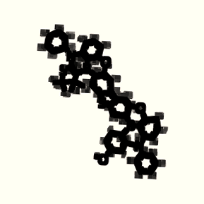 COc1ccc2c(c1)N(c1ccccc1)c1cccc3c1B2c1cc2sc4cc5c(cc4c2cc1O3)Oc1cccc2c1B5C1=C(SC(C)(C)C1(C)C)N2c1ccccc1